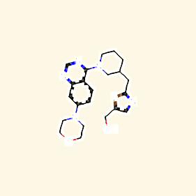 OCc1cnc(CC2CCCN(c3ncnc4cc(N5CCOCC5)ccc34)C2)s1